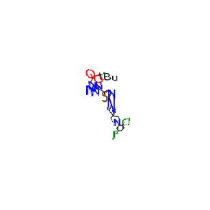 CC(C)(C)OC(=O)Cn1nnc(-c2cnc(N3CC4(CCN(c5cc(F)ccc5Cl)CC4)C3)s2)n1